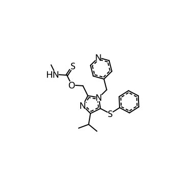 CNC(=S)OCc1nc(C(C)C)c(Sc2ccccc2)n1Cc1ccncc1